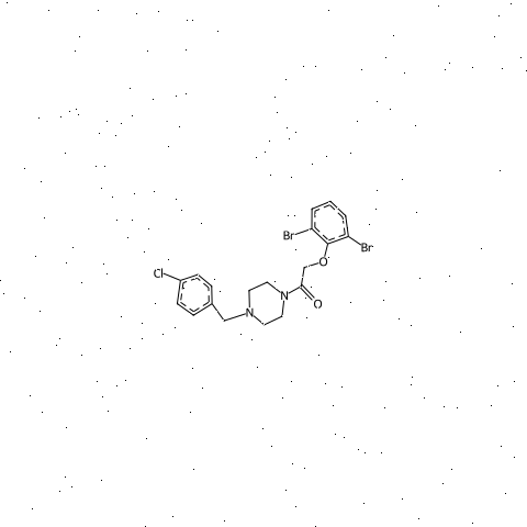 O=C(COc1c(Br)cccc1Br)N1CCN(Cc2ccc(Cl)cc2)CC1